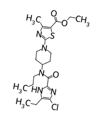 CCCN(C(=O)c1nc(Cl)c(CC)[nH]1)C1CCN(c2nc(C)c(C(=O)OCC)s2)CC1